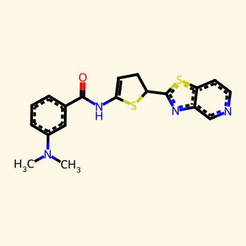 CN(C)c1cccc(C(=O)NC2=CCC(c3nc4cnccc4s3)S2)c1